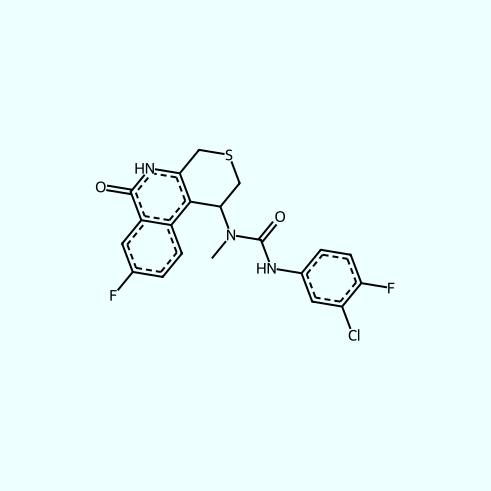 CN(C(=O)Nc1ccc(F)c(Cl)c1)C1CSCc2[nH]c(=O)c3cc(F)ccc3c21